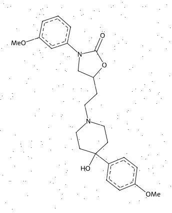 COc1ccc(C2(O)CCN(CCC3CN(c4cccc(OC)c4)C(=O)O3)CC2)cc1